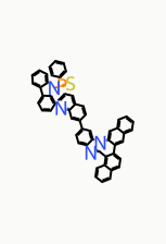 S=P(c1ccccc1)(c1cnc2cc(-c3ccc4nc5c6c7ccccc7ccc6c6cc7ccccc7cc6n5c4c3)ccc2c1)n1c2ccccc2c2ccccc21